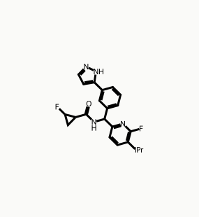 CC(C)c1ccc(C(NC(=O)C2CC2F)c2cccc(-c3ccn[nH]3)c2)nc1F